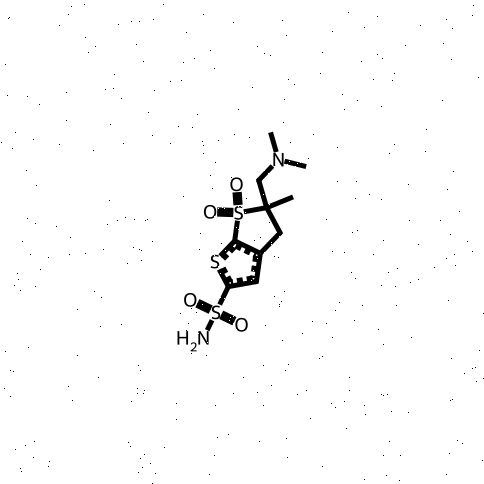 CN(C)CC1(C)Cc2cc(S(N)(=O)=O)sc2S1(=O)=O